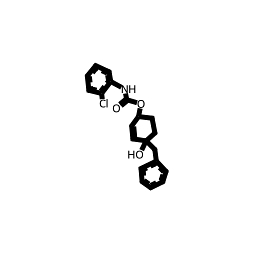 O=C(Nc1ccccc1Cl)OC1C=CC(O)(Cc2ccccc2)CC1